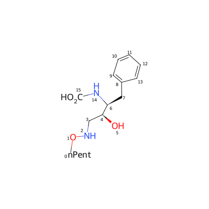 CCCCCONC[C@H](O)[C@H](Cc1ccccc1)NC(=O)O